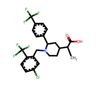 CC(C(=O)O)C1CCN(Cc2cc(Cl)ccc2C(F)(F)F)C(c2ccc(C(F)(F)F)cc2)C1